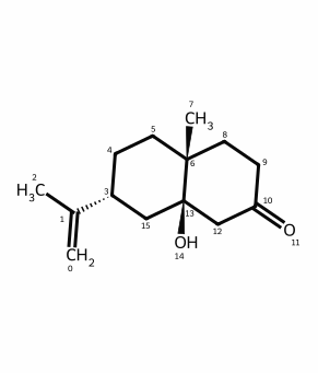 C=C(C)[C@@H]1CC[C@]2(C)CCC(=O)C[C@]2(O)C1